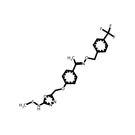 CSNc1nnc(COc2ccc(/C(C)=N/OCc3ccc(C(F)(F)F)cc3)cc2)o1